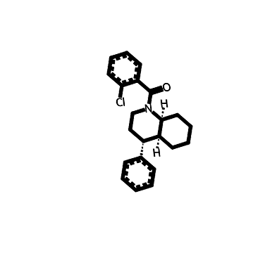 O=C(c1ccccc1Cl)N1CC[C@@H](c2ccccc2)[C@@H]2CCCC[C@@H]21